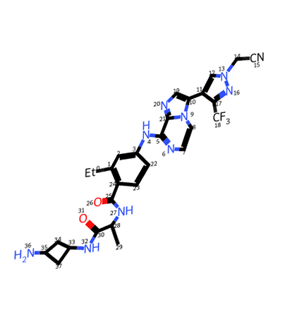 CCc1cc(Nc2nccn3c(-c4cn(CC#N)nc4C(F)(F)F)cnc23)ccc1C(=O)NC(C)C(=O)NC1CC(N)C1